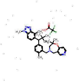 Cc1ccc(C(c2ccc3c(nnn3C)c2C)C(C)(C)C(=O)O)cc1CN1Cc2cnccc2OC(C)(C)C1.O=C(O)C(F)(F)F